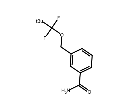 CC(C)(C)C(F)(F)OCc1cccc(C(N)=O)c1